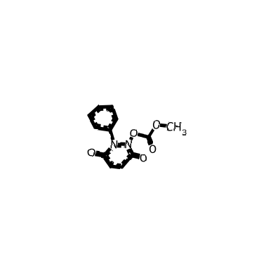 COC(=O)On1c(=O)ccc(=O)n1-c1ccccc1